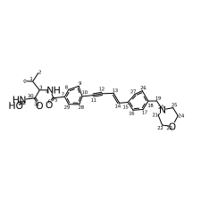 CC(C)C(NC(=O)c1ccc(C#C/C=C/c2ccc(CN3CCOCC3)cc2)cc1)C(=O)NO